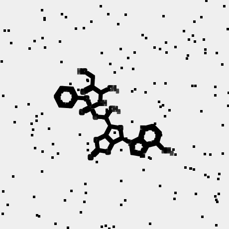 CC(NP(=O)(Oc1ccccc1)OC(C)[C@H]1O[C@@H](n2cnc3c(N)ccnc32)C2OC(=O)OC21)C(=O)CO